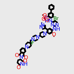 COc1cc(N2CCC(N3CCN(CC4(F)CCN(c5ccc6c(c5)C(=O)N(C5CCC(=O)NC5=O)C6=O)CC4)CC3)CC2)c(-c2cnn(C)c2)cc1Nc1ncc(Br)c(Nc2ccc(-c3ccccc3)cc2P(=O)(OC)OC)n1